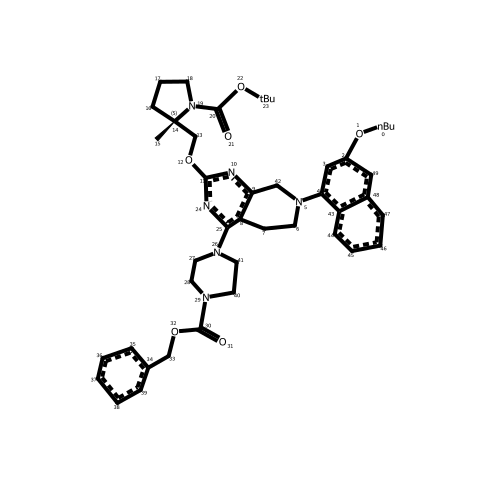 CCCCOc1cc(N2CCc3c(nc(OC[C@]4(C)CCCN4C(=O)OC(C)(C)C)nc3N3CCN(C(=O)OCc4ccccc4)CC3)C2)c2ccccc2c1